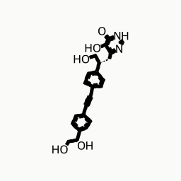 O=c1[nH]cnc(C[C@@H](CO)c2ccc(C#Cc3ccc(C(O)CO)cc3)cc2)c1O